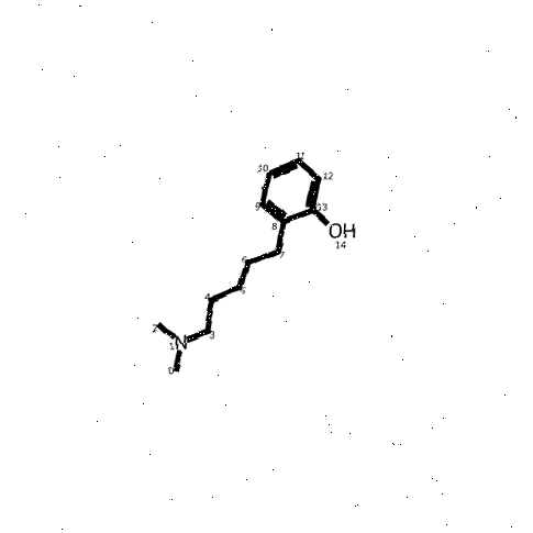 CN(C)CCCCCc1ccccc1O